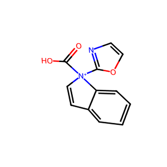 O=C(O)[N+]1(c2ncco2)C=Cc2ccccc21